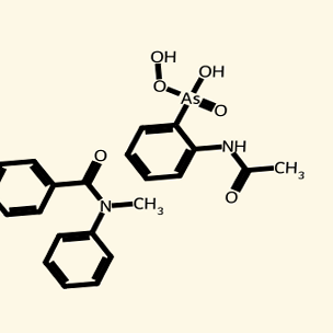 CC(=O)Nc1ccccc1[As](=O)(O)OO.CN(C(=O)c1ccccc1)c1ccccc1